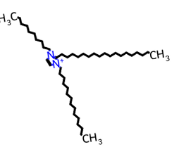 CCCCCCCCCCCCCCCCCCc1n(CCCCCCCCCC)cc[n+]1CCCCCCCCCCCCCCC